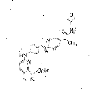 COc1nccc2ccc(Nc3ccc(CNc4ncc(C(C)C(=O)NC5COC5)cn4)cc3)nc12